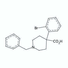 O=C(O)C1(c2ccccc2Br)CCN(Cc2ccccc2)CC1